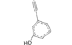 [C]#Cc1cccc(O)c1